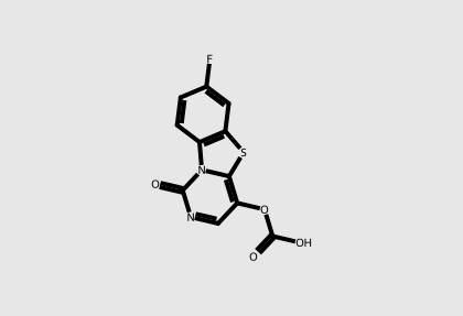 O=C(O)Oc1cnc(=O)n2c1sc1cc(F)ccc12